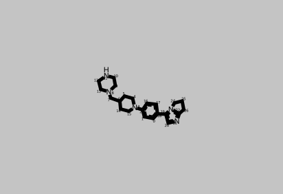 c1cc(N2CCC(CN3CCNCC3)CC2)ccc1-c1cnc2n1CCC2